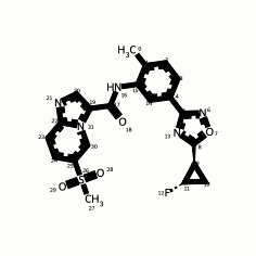 Cc1ccc(-c2noc([C@H]3C[C@@H]3F)n2)cc1NC(=O)c1cnc2ccc(S(C)(=O)=O)cn12